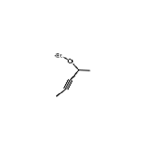 CC#CC(C)O[CH]C